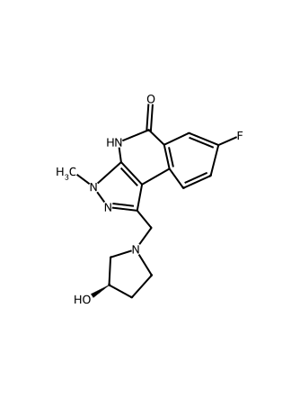 Cn1nc(CN2CC[C@@H](O)C2)c2c3ccc(F)cc3c(=O)[nH]c21